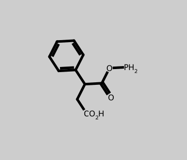 O=C(O)CC(C(=O)OP)c1ccccc1